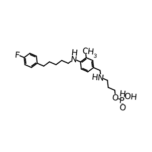 Cc1cc(CNCCCO[PH](=O)O)ccc1NCCCCCc1ccc(F)cc1